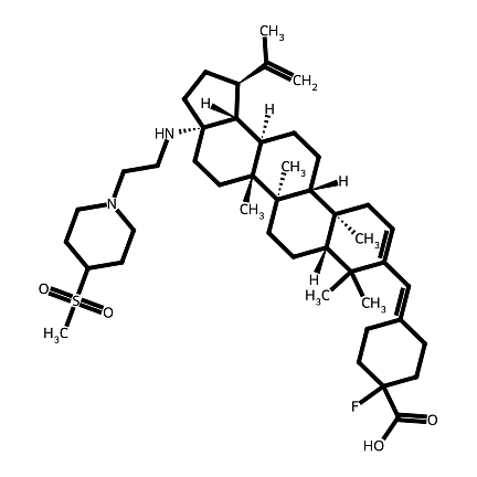 C=C(C)[C@@H]1CC[C@]2(NCCN3CCC(S(C)(=O)=O)CC3)CC[C@]3(C)[C@H](CC[C@@H]4[C@@]5(C)CC=C(C=C6CCC(F)(C(=O)O)CC6)C(C)(C)[C@@H]5CC[C@]43C)[C@@H]12